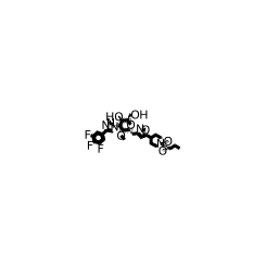 CCCS(=O)(=O)N1CCC(c2cc(C[C@H]3O[C@H](CO)[C@H](O)[C@H](n4cc(-c5cc(F)c(F)c(F)c5)nn4)[C@H]3OC)no2)CC1